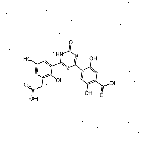 O=C(O)Cc1cc(O)cc(-c2nc(-c3cc(O)c(C(=O)O)cc3O)nc(=O)[nH]2)c1O